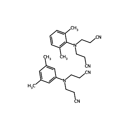 Cc1cc(C)cc(N(CCC#N)CCC#N)c1.Cc1cccc(C)c1N(CCC#N)CCC#N